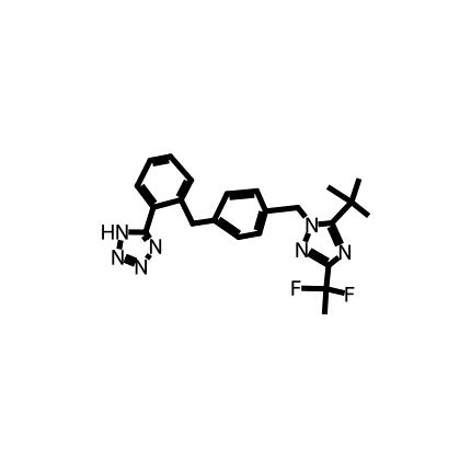 CC(C)(C)c1nc(C(C)(F)F)nn1Cc1ccc(Cc2ccccc2-c2nnn[nH]2)cc1